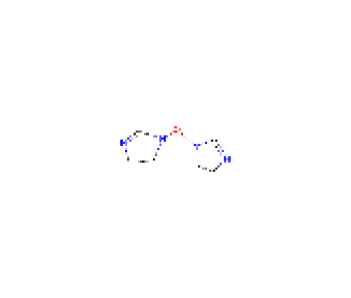 C1=NCCN1ON1C=NCC1